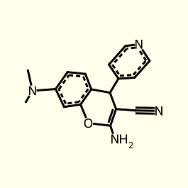 CN(C)c1ccc2c(c1)OC(N)=C(C#N)C2c1ccncc1